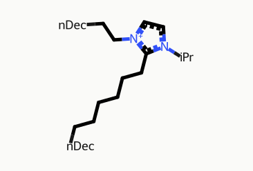 CCCCCCCCCCCCCCCCc1n(C(C)C)cc[n+]1CCCCCCCCCCCC